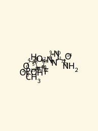 CP1(=O)OC[C@H]2O[C@@H](n3cnc(C(N)=O)n3)[C@H](F)[C@@H]2O1